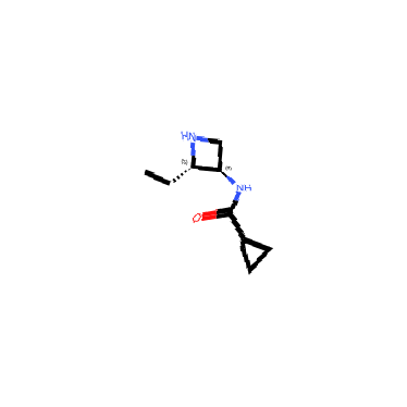 CC[C@@H]1NC[C@H]1NC(=O)C1CC1